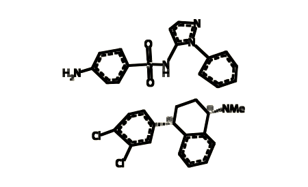 CN[C@H]1CC[C@@H](c2ccc(Cl)c(Cl)c2)c2ccccc21.Nc1ccc(S(=O)(=O)Nc2ccnn2-c2ccccc2)cc1